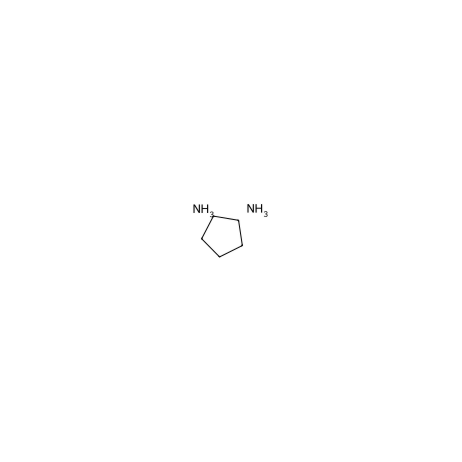 C1CCCC1.N.N